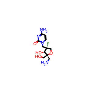 NC[C@]1(CO)OC[C@](F)(Cn2ccc(N)nc2=O)[C@@H]1O